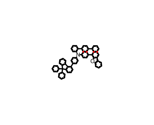 c1ccc(-c2ccc(-c3ccccc3N(c3ccc(-c4cccc5c4-c4ccccc4C5(c4ccccc4)c4ccccc4)cc3)c3ccc(-c4cccc5c4oc4ccccc45)cc3)cc2)cc1